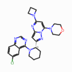 Clc1ccc2ncnc(N3CCCC[C@H]3c3cc4nc(N5CCC5)cc(N5CCOCC5)n4n3)c2c1